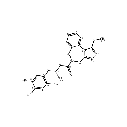 CCc1nnc2n1-c1ccccc1CN(C(=O)C[C@H](N)Cc1cc(F)c(F)cc1F)C2